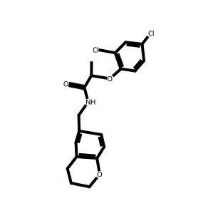 CC(Oc1ccc(Cl)cc1Cl)C(=O)NCc1ccc2c(c1)CCCO2